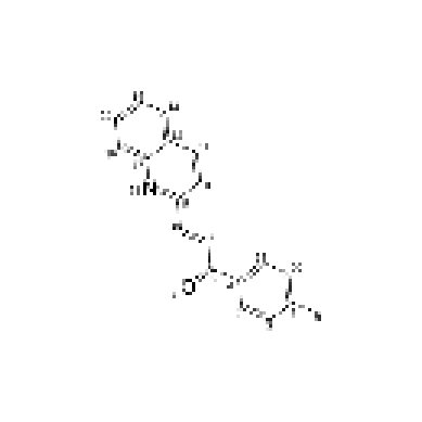 Cc1ccc(C(=O)/C=C/c2ccc3ccccc3n2)cc1